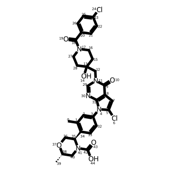 Cc1cc(-n2c(Cl)cc3c(=O)n(CC4(O)CCN(C(=O)c5ccc(Cl)cc5)CC4)cnc32)ccc1[C@@H]1CO[C@@H](C)CN1C(=O)O